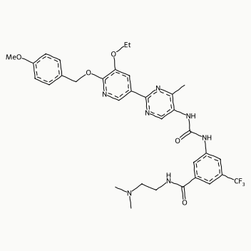 CCOc1cc(-c2ncc(NC(=O)Nc3cc(C(=O)NCCN(C)C)cc(C(F)(F)F)c3)c(C)n2)cnc1OCc1ccc(OC)cc1